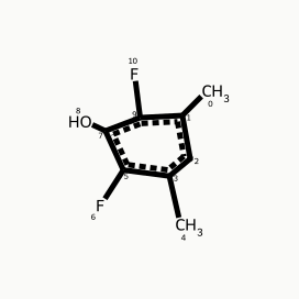 Cc1cc(C)c(F)c(O)c1F